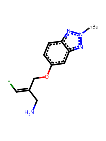 CCCCn1nc2ccc(OC/C(=C\F)CN)cc2n1